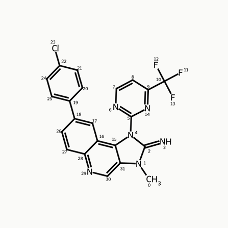 Cn1c(=N)n(-c2nccc(C(F)(F)F)n2)c2c3cc(-c4ccc(Cl)cc4)ccc3ncc21